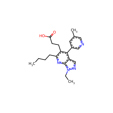 CCCCc1nc2c(cnn2CC)c(-c2cncc(C)c2)c1CCC(=O)O